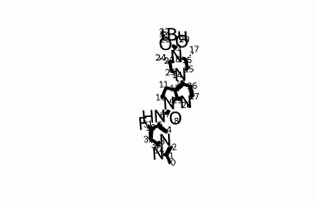 Cc1cn2cc(NC(=O)N3CCc4c(N5C[C@@H](C)N(C(=O)OC(C)(C)C)[C@@H](C)C5)ccnc43)c(F)cc2n1